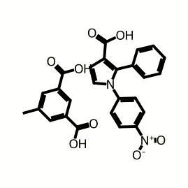 Cc1cc(C(=O)O)cc(C(=O)O)c1.O=C(O)c1ccn(-c2ccc([N+](=O)[O-])cc2)c1-c1ccccc1